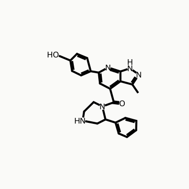 Cc1n[nH]c2nc(-c3ccc(O)cc3)cc(C(=O)N3CCNCC3c3ccccc3)c12